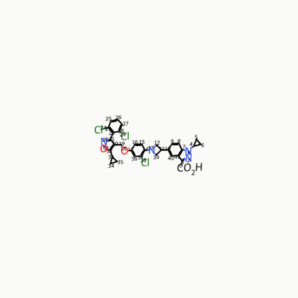 O=C(O)c1nn(C2CC2)c2ccc(C3CN(c4ccc(OCc5c(-c6c(Cl)cccc6Cl)noc5C5CC5)cc4Cl)C3)cc12